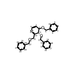 C1=CC(OCc2ccccc2)[C@H](OCc2ccccc2)C(COCc2ccccc2)=N1